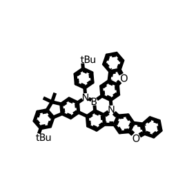 CC(C)(C)c1ccc(N2B3c4cc5c(cc4-n4c6cc7c(cc6c6ccc(c3c64)-c3cc4c(cc32)C(C)(C)c2ccc(C(C)(C)C)cc2-4)oc2ccccc27)oc2ccccc25)cc1